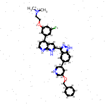 CN(C)CCOc1cc(F)cc(-c2ccnc3[nH]c(-c4n[nH]c5ccc(-c6cncc(OCc7ccccc7)c6)cc45)cc23)c1